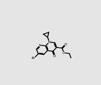 CCOC(=O)c1cn(C2CC2)c2ncc(Br)cc2c1=O